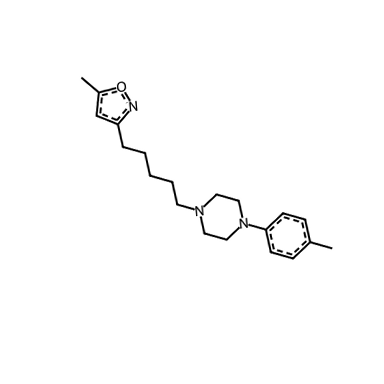 Cc1ccc(N2CCN(CCCCCc3cc(C)on3)CC2)cc1